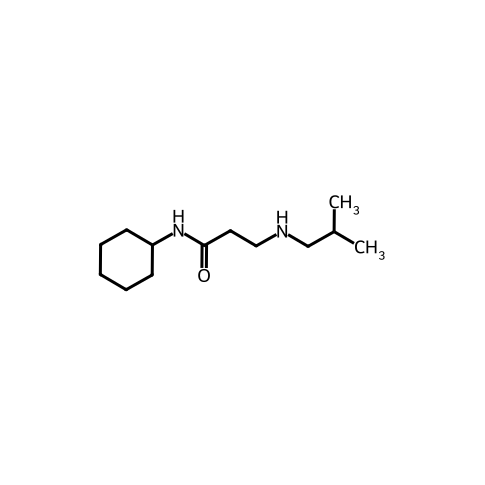 CC(C)CNCCC(=O)NC1CCCCC1